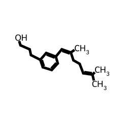 CC(C)=CCCC(C)=Cc1cccc(CCCO)c1